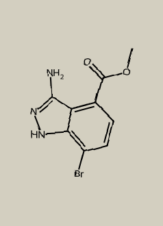 COC(=O)c1ccc(Br)c2[nH]nc(N)c12